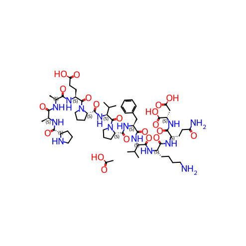 CC(=O)O.CC(C)[C@H](NC(=O)[C@H](Cc1ccccc1)NC(=O)[C@@H]1CCCN1C(=O)[C@@H](NC(=O)[C@@H]1CCCN1C(=O)[C@H](CCC(=O)O)NC(=O)[C@H](C)NC(=O)[C@H](C)NC(=O)[C@@H]1CCCN1)C(C)C)C(=O)N[C@@H](CCCCN)C(=O)N[C@@H](CCC(N)=O)C(=O)N[C@@H](CC(=O)O)C(=O)O